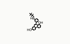 CC(C)(C)C(C)(C)CBc1cccc(-c2cc3cc(O)ccc3c3cccc(O)c23)c1